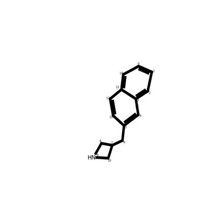 c1ccc2cc(CC3CNC3)ccc2c1